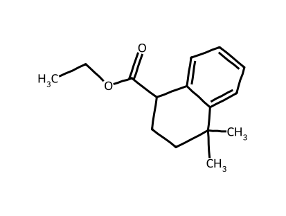 CCOC(=O)C1CCC(C)(C)c2ccccc21